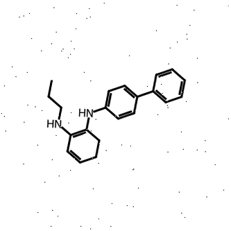 CCCNC1=C(Nc2ccc(-c3ccccc3)cc2)CCC=C1